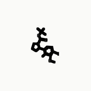 COc1c(I)ccc(C2CCCN2C(=O)OC(C)(C)C)c1C